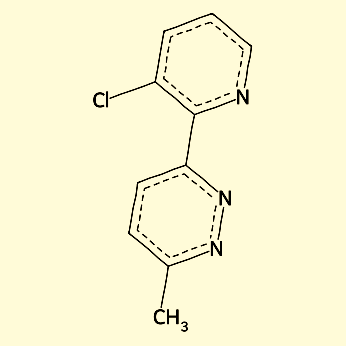 Cc1ccc(-c2ncccc2Cl)nn1